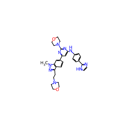 Cn1nc(CCN2CCOCC2)c2ccc(-c3cc(Nc4ccc(-c5ncc[nH]5)cc4)nc(N4CCOCC4)n3)cc21